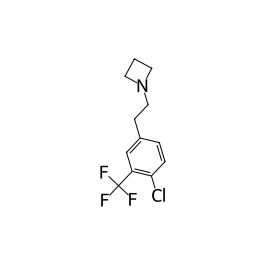 FC(F)(F)c1cc(CCN2CCC2)ccc1Cl